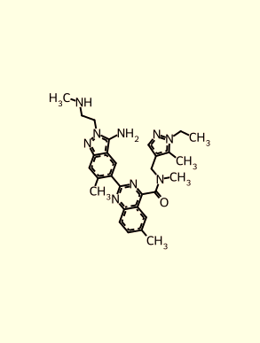 CCn1ncc(CN(C)C(=O)c2nc(-c3cc4c(N)n(CCNC)nc4cc3C)nc3ccc(C)cc23)c1C